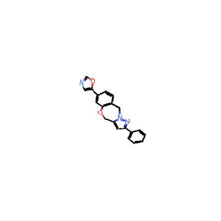 c1ccc(-c2cc3n(n2)Cc2ccc(-c4cnco4)cc2OC3)cc1